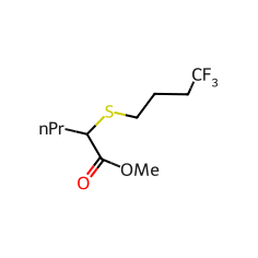 CCCC(SCCCC(F)(F)F)C(=O)OC